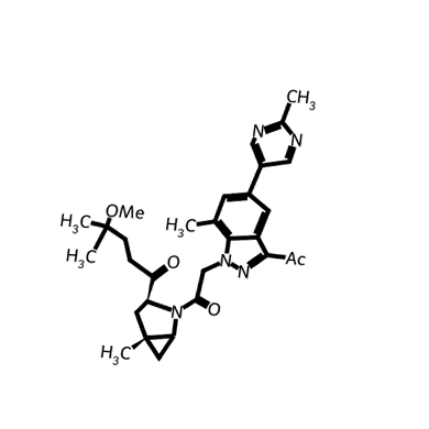 COC(C)(C)CCC(=O)[C@@H]1C[C@@]2(C)CC2N1C(=O)Cn1nc(C(C)=O)c2cc(-c3cnc(C)nc3)cc(C)c21